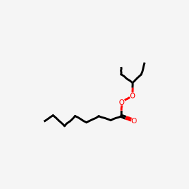 CCCCCCCC(=O)OOC(CC)CC